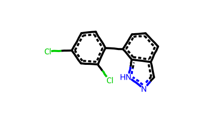 Clc1ccc(-c2cccc3cn[nH]c23)c(Cl)c1